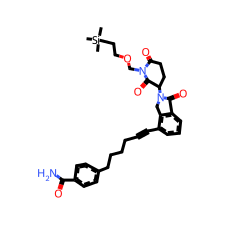 C[Si](C)(C)CCOCN1C(=O)CCC(N2Cc3c(C#CCCCCc4ccc(C(N)=O)cc4)cccc3C2=O)C1=O